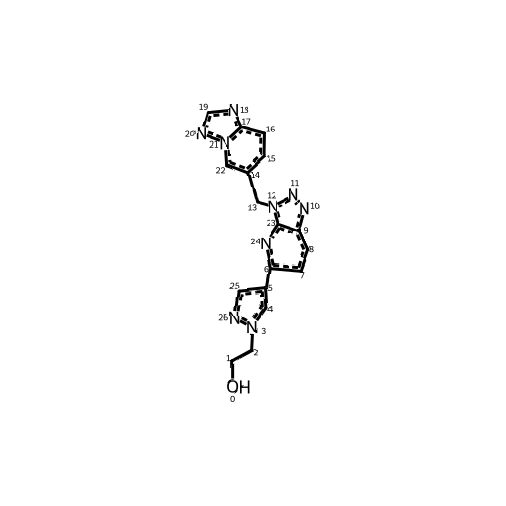 OCCn1cc(-c2ccc3nnn(Cc4ccc5ncnn5c4)c3n2)cn1